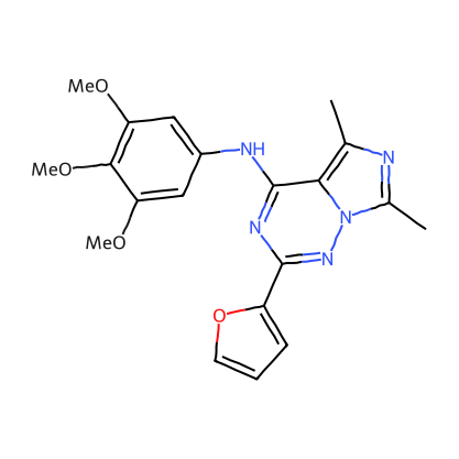 COc1cc(Nc2nc(-c3ccco3)nn3c(C)nc(C)c23)cc(OC)c1OC